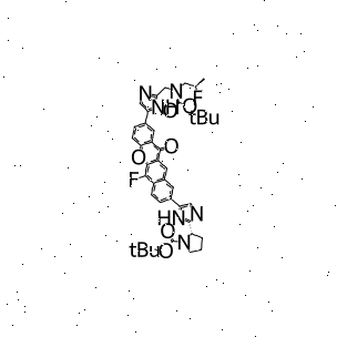 C[C@@H](F)CN(Cc1ncc(-c2ccc3oc4c(F)c5ccc(-c6cnc([C@@H]7CCCN7C(=O)OC(C)(C)C)[nH]6)cc5cc4c(=O)c3c2)[nH]1)C(=O)OC(C)(C)C